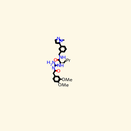 COc1ccc(CC(=O)N=C(N)N[C@H](CC(C)C)C(=O)NCc2cccc(-c3ccnn3C)c2)cc1OC